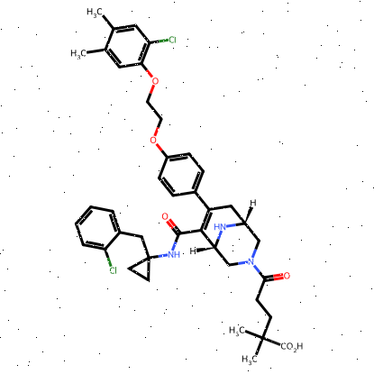 Cc1cc(Cl)c(OCCOc2ccc(C3=C(C(=O)NC4(Cc5ccccc5Cl)CC4)[C@H]4CN(C(=O)CCC(C)(C)C(=O)O)C[C@@H](C3)N4)cc2)cc1C